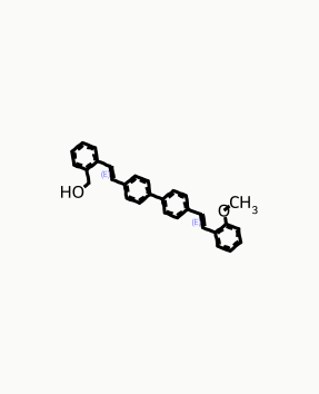 COc1ccccc1/C=C/c1ccc(-c2ccc(/C=C/c3ccccc3CO)cc2)cc1